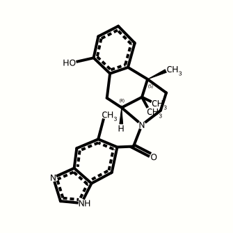 Cc1cc2nc[nH]c2cc1C(=O)N1CC[C@@]2(C)c3cccc(O)c3C[C@@H]1C2(C)C